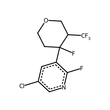 Fc1ncc(Cl)cc1C1(F)CCOCC1C(F)(F)F